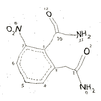 NC(=O)c1cccc([N+](=O)[O-])c1C(N)=O